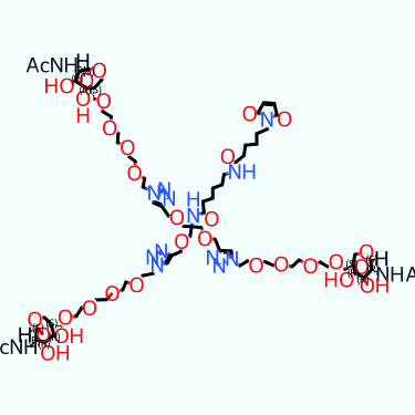 CC(=O)N[C@H]1[C@H]2OC[C@](COCCOCCOCCOCCn3cc(COCC(COCc4cn(CCOCCOCCOCCOC[C@@]56CO[C@@H](O5)[C@H](NC(C)=O)[C@@H](O)[C@H]6O)nn4)(COCc4cn(CCOCCOCCOCCOC[C@@]56CO[C@@H](O5)[C@H](NC(C)=O)[C@@H](O)[C@H]6O)nn4)NC(=O)CCCCCNC(=O)CCCCCN4C(=O)C=CC4=O)nn3)(O2)[C@H](O)[C@@H]1O